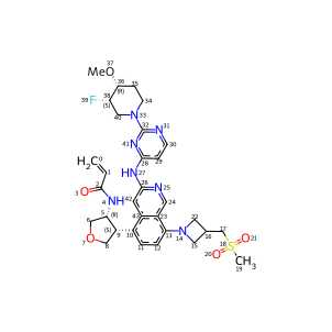 C=CC(=O)N[C@H]1COC[C@H]1c1ccc(N2CC(CS(C)(=O)=O)C2)c2cnc(Nc3ccnc(N4CC[C@@H](OC)[C@@H](F)C4)n3)cc12